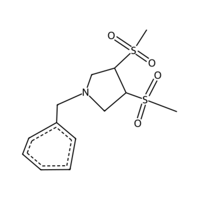 CS(=O)(=O)C1CN(Cc2ccccc2)CC1S(C)(=O)=O